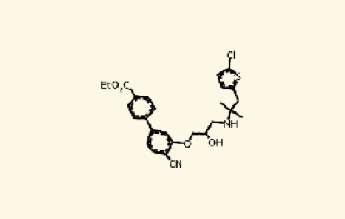 CCOC(=O)c1ccc(-c2ccc(C#N)c(OC[C@H](O)CNC(C)(C)Cc3ccc(Cl)s3)c2)cc1